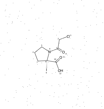 O=C(CCl)N1CCC[C@]1(I)C(=O)O